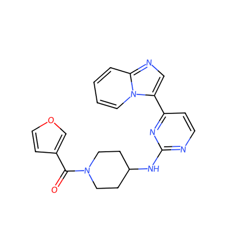 O=C(c1ccoc1)N1CCC(Nc2nccc(-c3cnc4ccccn34)n2)CC1